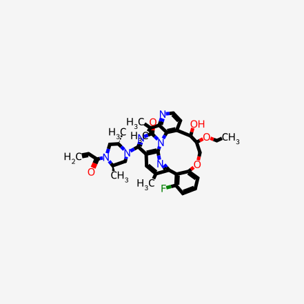 C=CC(=O)N1C[C@H](C)N(c2nc(=O)n3c4nc(c(C)cc24)-c2c(F)cccc2OCC(OCC)C(O)c2ccnc(C(C)C)c2-3)C[C@H]1C